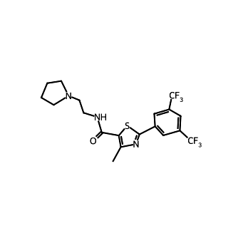 Cc1nc(-c2cc(C(F)(F)F)cc(C(F)(F)F)c2)sc1C(=O)NCCN1CCCC1